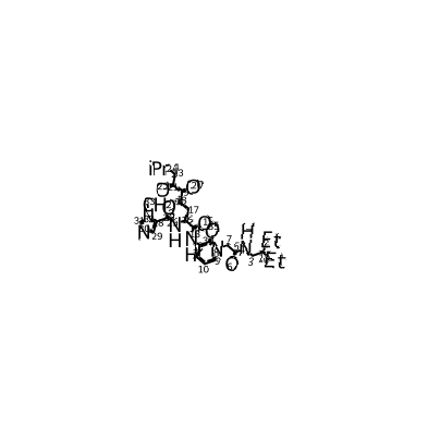 CCC(CC)CNC(=O)Cn1cccc(NC(=O)C(CCC(=O)C(=O)CC(C)C)NC(=O)c2cncn2C)c1=O